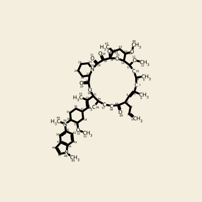 C=CCC1/C=C(\C)CC(C)CC(OC)C2OC(O)(C(=O)C(=O)N3CCCCC3C(=O)OC(C(C)=CC3CCC(N(C)c4ccc5c(ccn5C)c4)C(OC)C3)C(C)CCC1=O)C(C)CC2OC